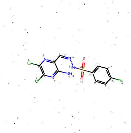 Nc1nc(Cl)c(Cl)nc1/C=N\NS(=O)(=O)c1ccc(Br)cc1